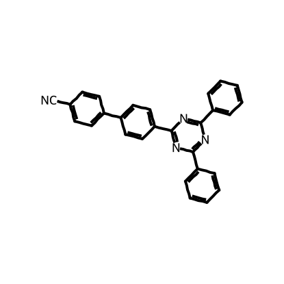 N#Cc1ccc(-c2ccc(-c3nc(-c4ccccc4)nc(-c4ccccc4)n3)cc2)cc1